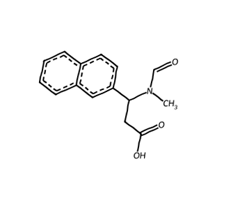 CN(C=O)C(CC(=O)O)c1ccc2ccccc2c1